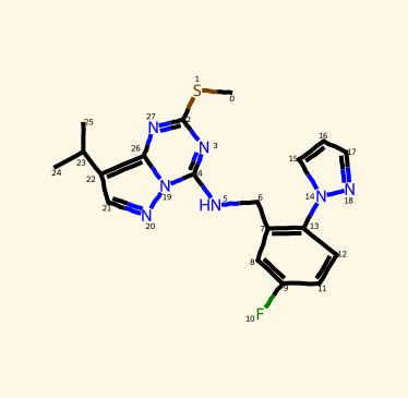 CSc1nc(NCc2cc(F)ccc2-n2cccn2)n2ncc(C(C)C)c2n1